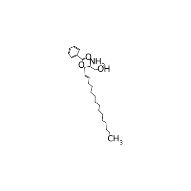 CCCCCCCCCCCCC/C=C/C(OC(=O)c1ccccc1)[C@@H](N)CO